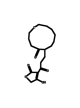 O=C(CCC1CCCCCCCCCCC1=O)C1=C(O)COC1=O